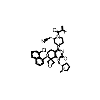 C=C(F)C(=O)N1CCN(c2nc(=O)n(C[C@@H]3CCCN3C)c3c2CCN(c2cccc4cccc(Cl)c24)C32COC2)C[C@@H]1CC#N